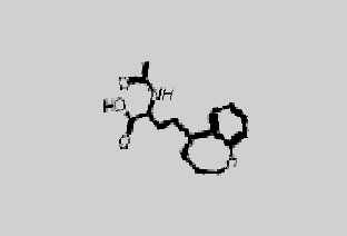 CC(=O)NC(CCC1CCCOc2ccccc21)C(=O)O